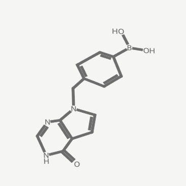 O=c1[nH]cnc2c1ccn2Cc1ccc(B(O)O)cc1